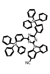 N#Cc1ccc2c(c1)c1ccccc1n2-c1nc(-c2cccc([Si](c3ccccc3)(c3ccccc3)c3ccccc3)c2)nc(-c2cccc([Si](c3ccccc3)(c3ccccc3)c3ccccc3)c2)n1